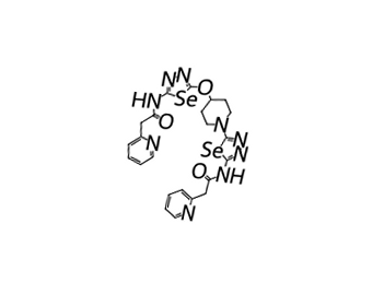 O=C(Cc1ccccn1)Nc1nnc(OC2CCN(c3nnc(NC(=O)Cc4ccccn4)[se]3)CC2)[se]1